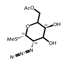 CS[C@@H]1OC(COC(C)=O)[C@@H](O)C(O)[C@@H]1N=[N+]=[N-]